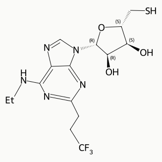 CCNc1nc(CCC(F)(F)F)nc2c1ncn2[C@@H]1O[C@H](CS)[C@@H](O)[C@H]1O